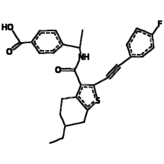 CCC1CCc2c(sc(C#Cc3ccc(F)cc3)c2C(=O)NC(C)c2ccc(C(=O)O)cc2)C1